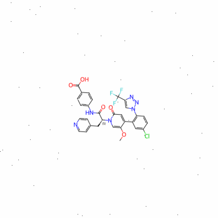 COc1cn([C@@H](Cc2ccncc2)C(=O)Nc2ccc(C(=O)O)cc2)c(=O)cc1-c1cc(Cl)ccc1-n1cc(C(F)(F)F)nn1